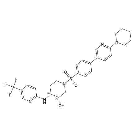 O=S(=O)(c1ccc(-c2ccc(N3CCCCC3)nc2)cc1)N1CC[C@@H](Nc2ccc(C(F)(F)F)cn2)[C@@H](O)C1